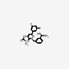 CC(=O)O.N=C(N)c1cccc(Cn2nc(-c3cc(F)cc(F)c3)ccc2=O)c1